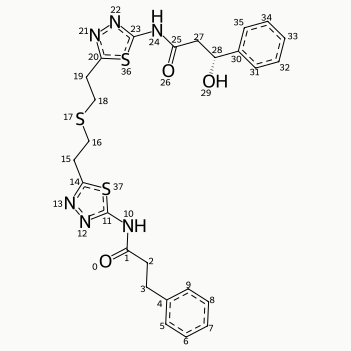 O=C(CCc1ccccc1)Nc1nnc(CCSCCc2nnc(NC(=O)C[C@@H](O)c3ccccc3)s2)s1